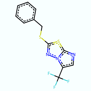 FC(F)(F)c1cnc2sc(SCc3ccccc3)nn12